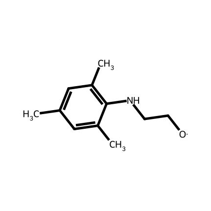 Cc1cc(C)c(NCC[O])c(C)c1